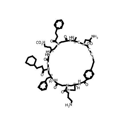 CC(C)C[C@H]1CN(C(=O)CCCN)CC(=O)N[C@@H](Cc2ccccc2)CN(C(=O)CCC2CCCCC2)CC(=O)N[C@@H](CCC(=O)O)CN(C(=O)CCc2ccccc2)CC(=O)N[C@@H](C)CN(CC(N)=O)C(=O)CCSCc2ccc(cc2)C(=O)N1